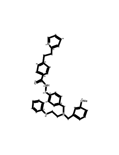 COc1cccc(CN(CCSc2ccccc2)Cc2ccc(SNC(=O)c3ccc(CCc4ccccn4)cc3)cc2)c1